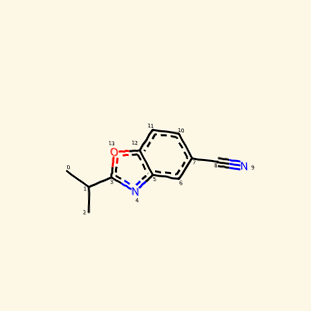 CC(C)c1nc2cc(C#N)ccc2o1